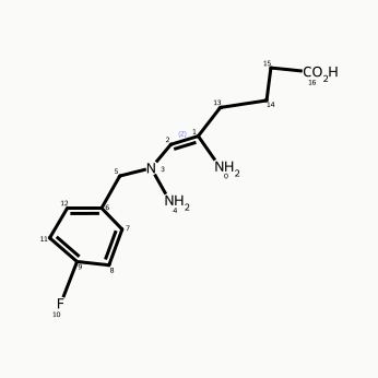 N/C(=C\N(N)Cc1ccc(F)cc1)CCCC(=O)O